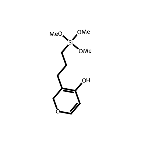 CO[Si](CCCC1=C(O)C=COC1)(OC)OC